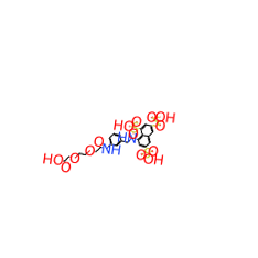 O=C(O)COCCOCC(=O)Nc1cccc(CNc2cc(S(=O)(=O)O)cc3cc(S(=O)(=O)O)cc(S(=O)(=O)O)c23)c1